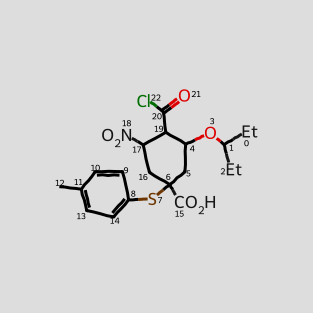 CCC(CC)OC1CC(Sc2ccc(C)cc2)(C(=O)O)CC([N+](=O)[O-])C1C(=O)Cl